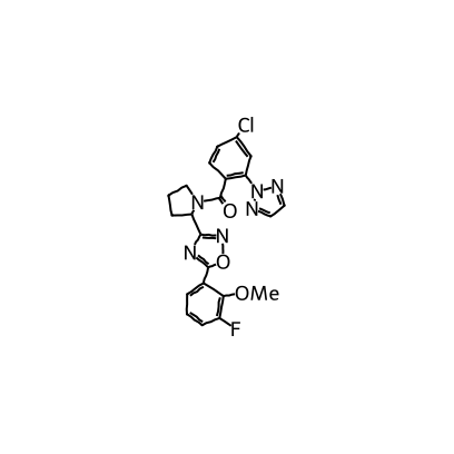 COc1c(F)cccc1-c1nc(C2CCCN2C(=O)c2ccc(Cl)cc2-n2nccn2)no1